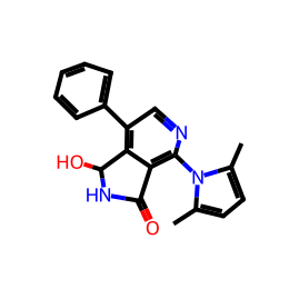 Cc1ccc(C)n1-c1ncc(-c2ccccc2)c2c1C(=O)NC2O